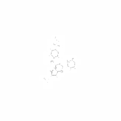 CN(C)S(=O)(=O)c1ccc(Nc2cc(-c3ccccn3)nc3cc(C4CC4)nn23)cc1